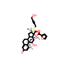 C[C@@H]1CC2C3CCC4=CC(=O)C=C[C@]4(C)[C@@]3(CI)[C@@H](O)C[C@]2(C)[C@@]1(OC(=O)c1ccco1)C(=O)SCC#CCO